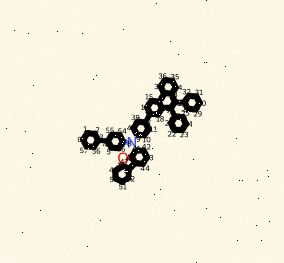 c1ccc(-c2ccc(N(c3ccc(-c4ccc5c(c4)c(-c4ccccc4)c(-c4ccccc4)c4ccccc45)cc3)c3cccc4c3oc3ccccc34)cc2)cc1